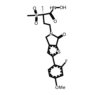 COc1ccc(-c2cc3c(s2)C(=O)N(CC[C@](C)(C(=O)NO)S(C)(=O)=O)C3)c(F)c1